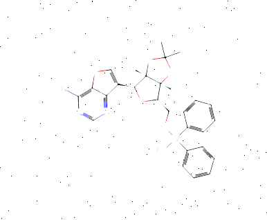 CC1(C)O[C@@H]2[C@H](O1)[C@@H](CO[Si](c1ccccc1)(c1ccccc1)C(C)(C)C)O[C@H]2c1coc2c(N)ncnc12